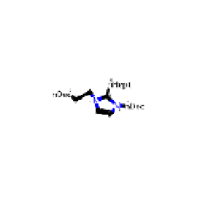 CCCCCCCCCCCCN1C=CN(CCCCCCCCCC)C1CCCCCCC